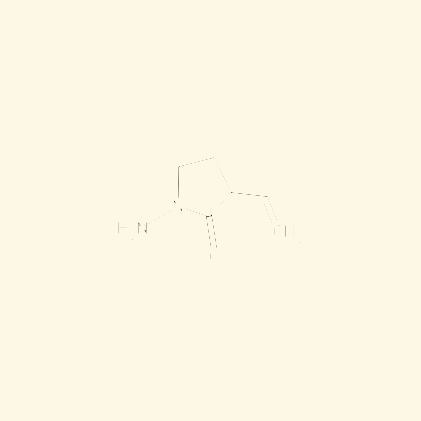 C=CC1CCN(N)C1=O